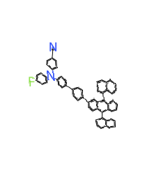 N#Cc1ccc(N(c2ccc(F)cc2)c2ccc(-c3ccc(-c4ccc5c(-c6cccc7ccccc67)c6ccccc6c(-c6cccc7ccccc67)c5c4)cc3)cc2)cc1